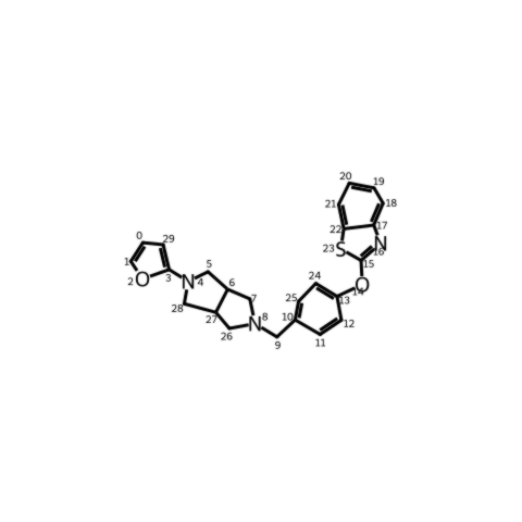 c1coc(N2CC3CN(Cc4ccc(Oc5nc6ccccc6s5)cc4)CC3C2)c1